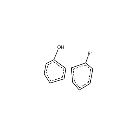 Brc1cc[c]cc1.Oc1cc[c]cc1